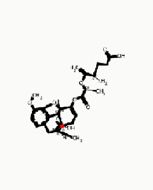 C=C(O[C@@H](C)C(=O)OC1=CC[C@@]2(O)[C@H]3Cc4ccc(OC)c5c4[C@@]2(CCN3C)[C@H]1O5)[C@@H](N)CCC(=O)O